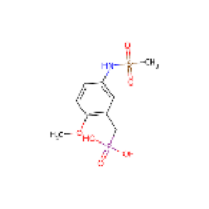 COc1ccc(NS(C)(=O)=O)cc1CP(=O)(O)O